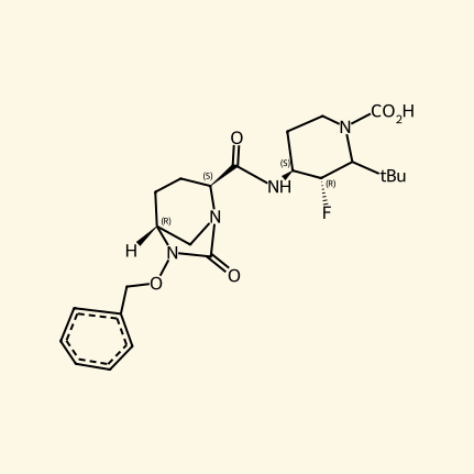 CC(C)(C)C1[C@H](F)[C@@H](NC(=O)[C@@H]2CC[C@@H]3CN2C(=O)N3OCc2ccccc2)CCN1C(=O)O